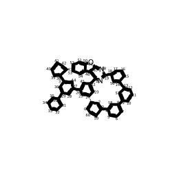 c1ccc(-c2cccc(-c3cccc(-c4cccc(-c5nc(-c6cccc(-c7cc(-c8ccccc8)cc(-c8ccccc8)c7)c6)c6c(n5)oc5ccccc56)c4)c3)c2)cc1